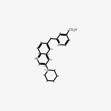 O=C(O)c1ccnc(Cc2ccc3ncc(N4CCCCC4)cc3c2)c1